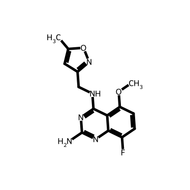 COc1ccc(F)c2nc(N)nc(NCc3cc(C)on3)c12